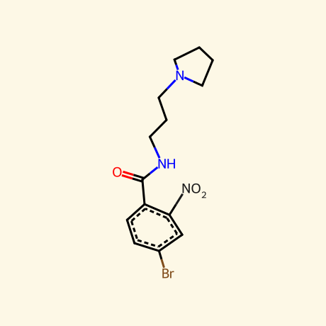 O=C(NCCCN1CCCC1)c1ccc(Br)cc1[N+](=O)[O-]